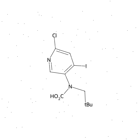 CC(C)(C)CN(C(=O)O)c1cnc(Cl)cc1I